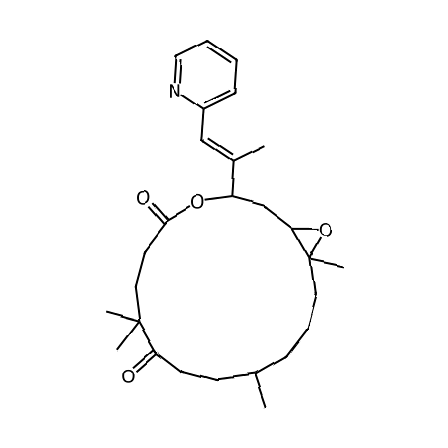 CC(=Cc1ccccn1)C1CC2OC2(C)CCCC(C)CCC(=O)C(C)(C)CCC(=O)O1